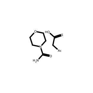 CC(=O)CC(O)=S.NC(=O)N1CCOCC1